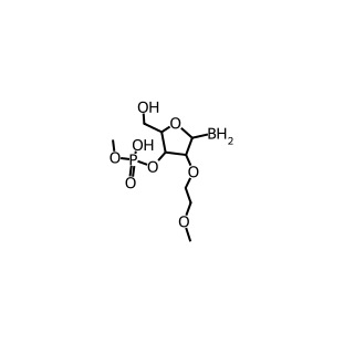 BC1OC(CO)C(OP(=O)(O)OC)C1OCCOC